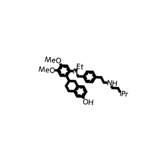 CCN(Cc1ccc(CCNCCC(C)C)cc1)c1cc(OC)c(OC)cc1C1CCc2cc(O)ccc2C1